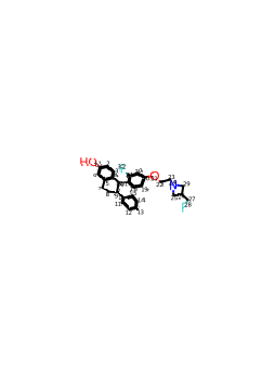 Oc1ccc2c(c1)CCC(c1ccccc1)[C@@H]2c1ccc(OCCN2CC(CF)C2)cc1F